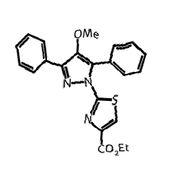 CCOC(=O)c1csc(-n2nc(-c3ccccc3)c(OC)c2-c2ccccc2)n1